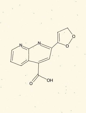 O=C(O)c1cc(C2=CCOO2)nc2ncccc12